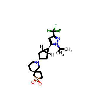 CC(C)n1nc(C(F)(F)F)cc1[C@H]1[C@@H]2C[C@H](N3CCC[C@]4(CCS(=O)(=O)C4)C3)C[C@@H]21